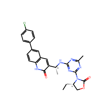 CC[C@H]1COC(=O)N1c1nc(C)nc(N[C@H](C)c2cc3cc(-c4ccc(Cl)cc4)ccc3[nH]c2=O)n1